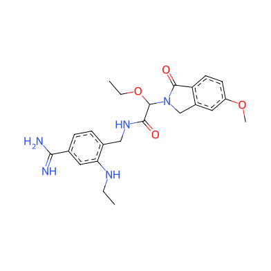 CCNc1cc(C(=N)N)ccc1CNC(=O)C(OCC)N1Cc2cc(OC)ccc2C1=O